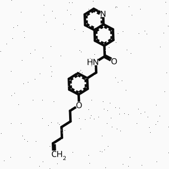 C=CCCCCOc1cccc(CNC(=O)c2ccc3ncccc3c2)c1